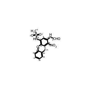 CS(=O)(=O)Nc1cc(NC=O)c([N+](=O)[O-])cc1Oc1ccccc1F